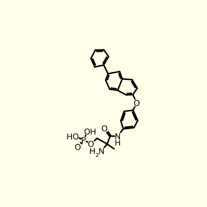 CC(N)(COP(=O)(O)O)C(=O)Nc1ccc(Oc2ccc3cc(-c4ccccc4)ccc3c2)cc1